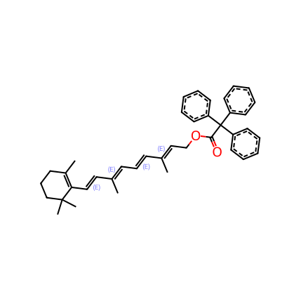 CC1=C(/C=C/C(C)=C/C=C/C(C)=C/COC(=O)C(c2ccccc2)(c2ccccc2)c2ccccc2)C(C)(C)CCC1